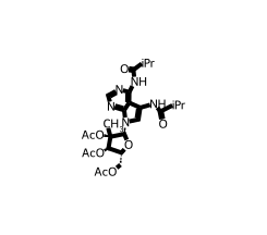 CC(=O)OC[C@H]1O[C@@H](n2cc(NC(=O)C(C)C)c3c(NC(=O)C(C)C)ncnc32)[C@](C)(OC(C)=O)[C@@H]1OC(C)=O